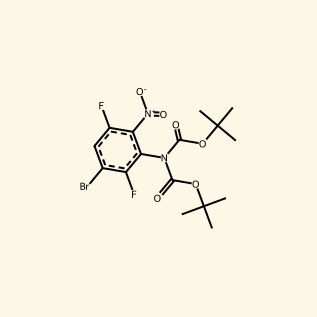 CC(C)(C)OC(=O)N(C(=O)OC(C)(C)C)c1c(F)c(Br)cc(F)c1[N+](=O)[O-]